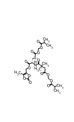 Cc1oc(=O)oc1COC(=O)[C@H](CSC(=O)OCOC(=O)C(C)C)NC(=O)C(C)(C)SC(=O)OCOC(=O)C(C)C